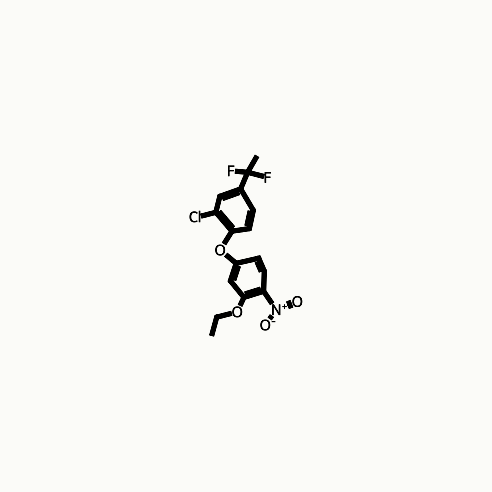 CCOc1cc(Oc2ccc(C(C)(F)F)cc2Cl)ccc1[N+](=O)[O-]